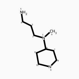 CN(CCCN)C1CC[N]CC1